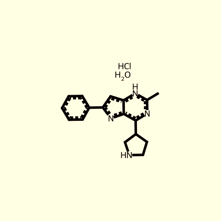 Cc1nc(C2CCNC2)c2nc(-c3ccccc3)cc-2[nH]1.Cl.O